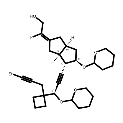 CCC#CCC1([C@@H](C#C[C@@H]2[C@H]3C/C(=C(\F)CO)C[C@H]3C[C@H]2OC2CCCCO2)OC2CCCCO2)CCC1